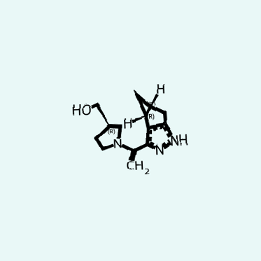 C=C(c1n[nH]c2c1[C@@H]1C[C@@H]1C2)N1CC[C@@H](CO)C1